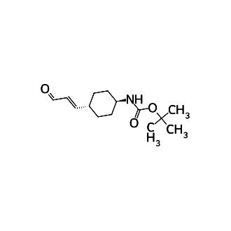 CC(C)(C)OC(=O)N[C@H]1CC[C@H](C=CC=O)CC1